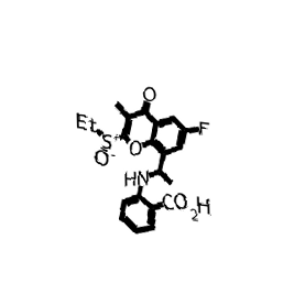 CC[S+]([O-])c1oc2c(C(C)Nc3ccccc3C(=O)O)cc(F)cc2c(=O)c1C